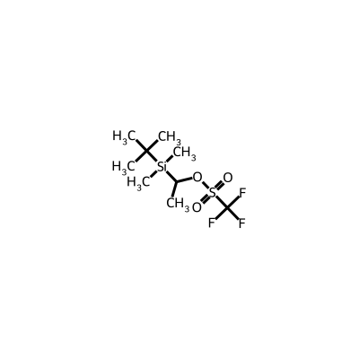 CC(OS(=O)(=O)C(F)(F)F)[Si](C)(C)C(C)(C)C